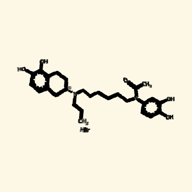 Br.CCCN(CCCCCCN(C(C)=O)c1ccc(O)c(O)c1)[C@H]1CCc2c(ccc(O)c2O)C1